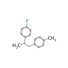 [CH2]C(Cc1ccc(C)cc1)c1ccc(F)cc1